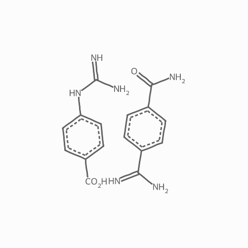 N=C(N)Nc1ccc(C(=O)O)cc1.N=C(N)c1ccc(C(N)=O)cc1